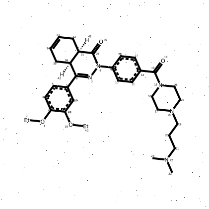 CCOc1ccc(C2=NN(c3ccc(C(=O)N4CCN(CCCN(C)C)CC4)cc3)C(=O)[C@@H]3CC=CC[C@H]23)cc1OCC